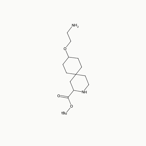 CC(C)(C)OC(=O)C1CC2(CCN1)CCC(OCCN)CC2